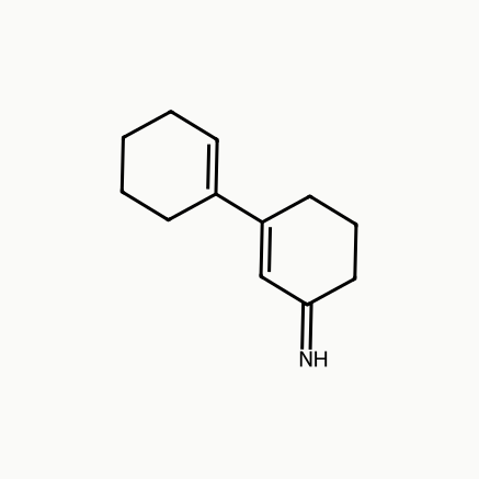 N=C1C=C(C2=CCCCC2)CCC1